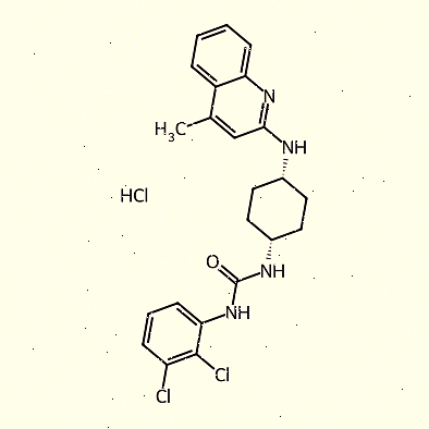 Cc1cc(N[C@H]2CC[C@@H](NC(=O)Nc3cccc(Cl)c3Cl)CC2)nc2ccccc12.Cl